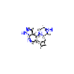 C1=CC(c2cnc3[nH]ncc3c2N2CCNCC2)=C1